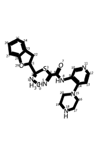 C/N=C(\SC(=N)C(=O)Nc1cnccc1N1CCNCC1)C1Cc2ccccc2O1